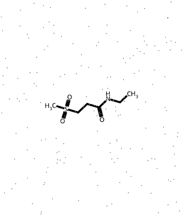 CCNC(=O)CCS(C)(=O)=O